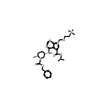 CC(C)OC(=O)c1cn(COCC[Si](C)(C)C)c2ncnc(N[C@H]3CC[C@H](C)N(C(=O)OCc4ccccc4)C3)c12